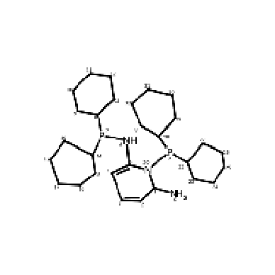 NC1C=CC=C(NP(C2CCCCC2)C2CCCCC2)N1P(C1CCCCC1)C1CCCCC1